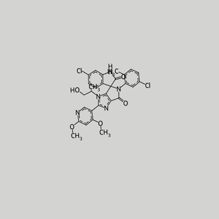 COc1cc(OC)c(-c2nc3c(n2C(C)CO)C2(C(=O)Nc4cc(Cl)ccc42)N(c2cc(Cl)ccc2C)C3=O)cn1